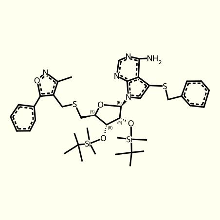 Cc1noc(-c2ccccc2)c1CSC[C@H]1O[C@@H](n2cc(SCc3ccccc3)c3c(N)ncnc32)[C@H](O[Si](C)(C)C(C)(C)C)[C@@H]1O[Si](C)(C)C(C)(C)C